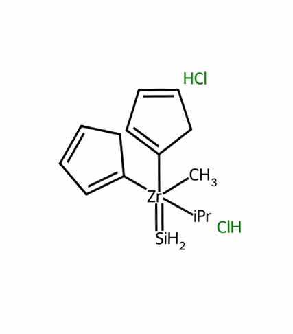 C[CH](C)[Zr]([CH3])(=[SiH2])([C]1=CC=CC1)[C]1=CC=CC1.Cl.Cl